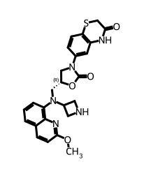 COc1ccc2cccc(N(C[C@@H]3CN(c4ccc5c(c4)NC(=O)CS5)C(=O)O3)C3CNC3)c2n1